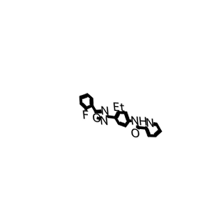 CCc1cc(NC(=O)c2ccccn2)ccc1-c1noc(-c2ccccc2F)n1